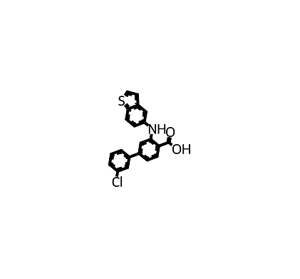 O=C(O)c1ccc(-c2cccc(Cl)c2)cc1Nc1ccc2sccc2c1